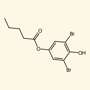 CCCCC(=O)Oc1cc(Br)c(O)c(Br)c1